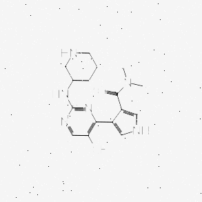 CN(C)C(=O)c1c[nH]cc1-c1nc(NC2CCCNC2)ncc1C(F)(F)F